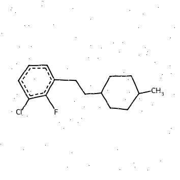 CC1CCC(CCc2cccc(Cl)c2F)CC1